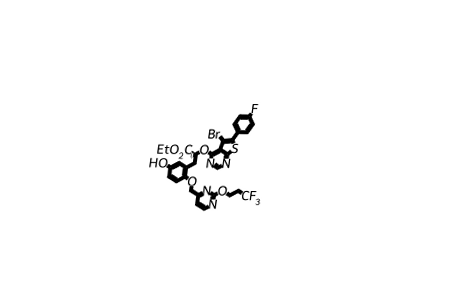 CCOC(=O)[C@@H](Cc1cc(O)ccc1OCc1ccnc(OCCC(F)(F)F)n1)Oc1ncnc2sc(-c3ccc(F)cc3)c(Br)c12